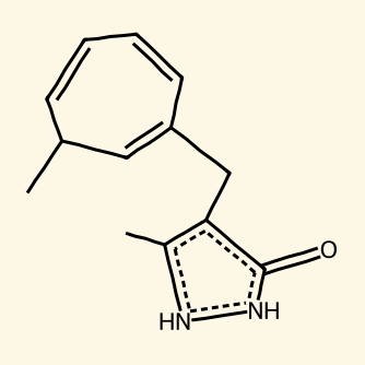 Cc1[nH][nH]c(=O)c1CC1=CC(C)C=CC=C1